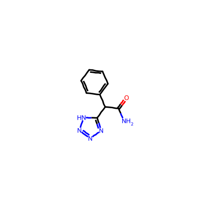 NC(=O)C(c1ccccc1)c1nnn[nH]1